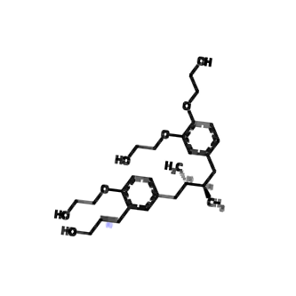 C[C@H](Cc1ccc(OCCO)c(OCCO)c1)[C@@H](C)Cc1ccc(OCCO)c(/C=C/CO)c1